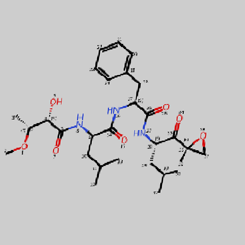 CO[C@H](C)[C@H](O)C(=O)NC(CC(C)C)C(=O)N[C@@H](Cc1ccccc1)C(=O)N[C@@H](CC(C)C)C(=O)[C@@]1(C)CO1